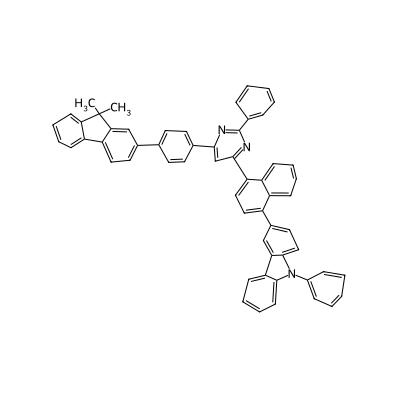 CC1(C)c2ccccc2-c2ccc(-c3ccc(-c4cc(-c5ccc(-c6ccc7c(c6)c6ccccc6n7-c6ccccc6)c6ccccc56)nc(-c5ccccc5)n4)cc3)cc21